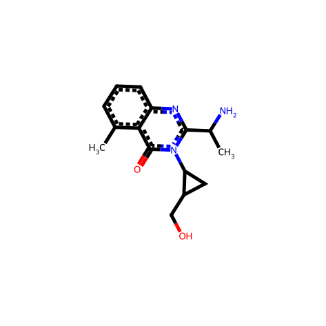 Cc1cccc2nc(C(C)N)n(C3CC3CO)c(=O)c12